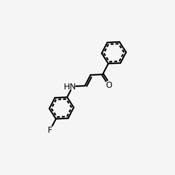 O=C(C=CNc1ccc(F)cc1)c1ccccc1